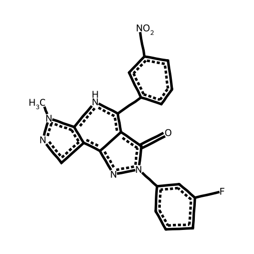 Cn1ncc2c3nn(-c4cccc(F)c4)c(=O)c-3c(-c3cccc([N+](=O)[O-])c3)[nH]c21